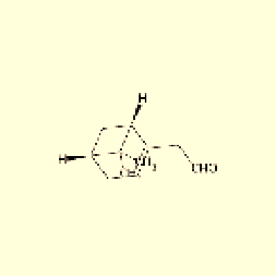 CC1(C)[C@@H]2CC=C(CC=O)[C@H]1C2